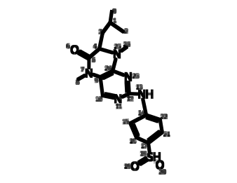 CC(C)CC1C(=O)N(C)c2cnc(Nc3ccc([SH](=O)=O)cc3)nc2N1C